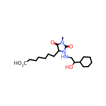 CN1C(=O)C(CCCCCCC(=O)O)N(NCC(O)C2CCCCC2)C1=O